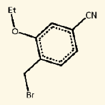 CCOc1cc(C#N)ccc1CBr